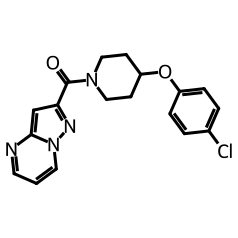 O=C(c1cc2ncccn2n1)N1CCC(Oc2ccc(Cl)cc2)CC1